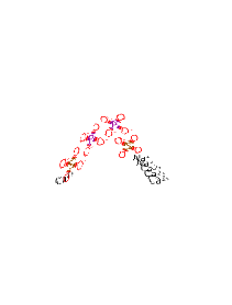 O=P([O-])([O-])[O-].O=P([O-])([O-])[O-].O=S(=O)([O-])[O-].O=S(=O)([O-])[O-].[Ca+2].[Ca+2].[Ca+2].[Ca+2].[Na+].[Na+]